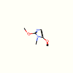 COc1cnc(OC)n1C